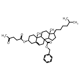 CC(=O)CCC(=O)O[C@H]1CC[C@@]2(C)C(=CCC3(C(=O)OCc4ccccc4)C4CCC(CCCCC(C)C)[C@@]4(C)CCC32)C1